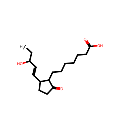 CCC(O)C=CC1CCC(=O)C1CCCCCCC(=O)O